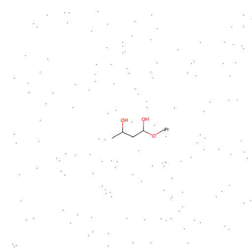 CC(O)CC(O)OC(C)C